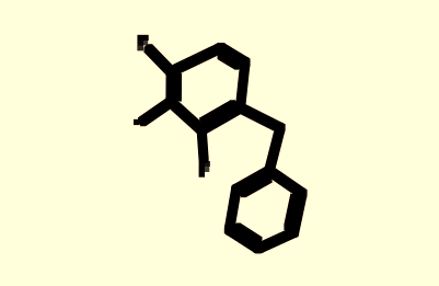 [CH2]c1c(F)ccc(Cc2ccccc2)c1F